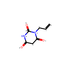 C=CCN1C(=O)CC(=O)NC1=O